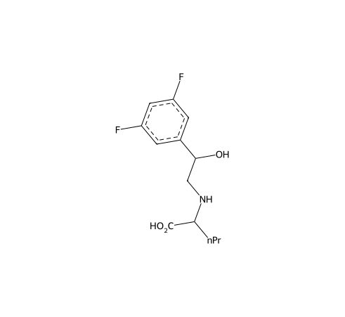 CCCC(NCC(O)c1cc(F)cc(F)c1)C(=O)O